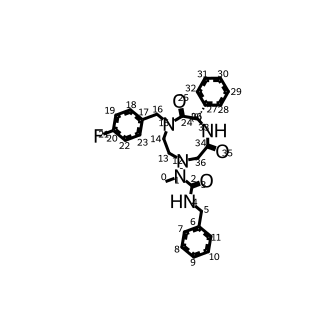 CN(C(=O)NCc1ccccc1)N1CCN(Cc2ccc(F)cc2)C(=O)[C@H](c2ccccc2)NC(=O)C1